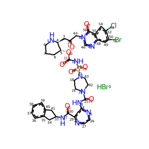 Br.O=C(C[C@@H]1NCCC[C@H]1OC(=O)NS(=O)(=O)N1CCN(C(=O)Nc2nccnc2C(=O)NC2Cc3ccccc3C2)CC1)Cn1cnc2cc(Br)c(Cl)cc2c1=O